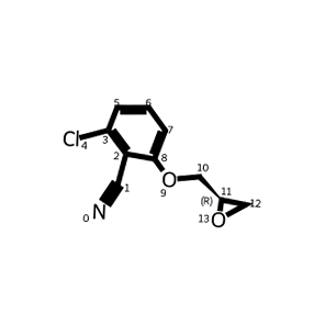 N#Cc1c(Cl)cccc1OC[C@H]1CO1